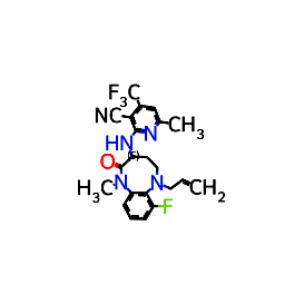 C=CCN1CC[C@H](Nc2nc(C)cc(C(F)(F)F)c2C#N)C(=O)N(C)c2cccc(F)c21